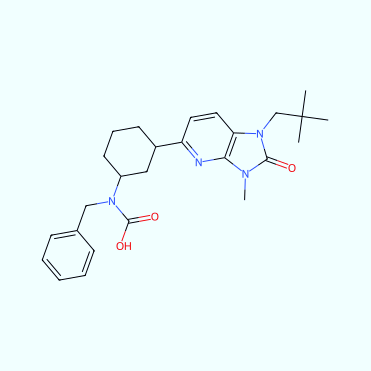 Cn1c(=O)n(CC(C)(C)C)c2ccc(C3CCCC(N(Cc4ccccc4)C(=O)O)C3)nc21